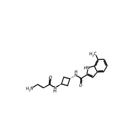 Cc1cccc2cc(C(=O)N[C@H]3C[C@H](NC(=O)CCN)C3)[nH]c12